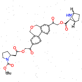 CC(C)(C)OC(=O)N1CCC[C@H]1CC(=O)OCC(=O)c1ccc2c(c1)COCc1cc(C(=O)COC(=O)[C@H]3N[C@@H]4CC[C@H]3C4)ccc1-2